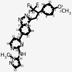 COc1ccc(C(Cc2nnc3cc(-c4ccnc(Nc5ccnn5C)n4)ccn23)C(F)(F)F)cc1